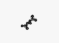 c1ccc(-c2nc(-c3ccccc3)nc(-c3ccc4c(c3)C3(CCCC3)c3cc(-c5nc(-c6ccccn6)nc(-c6ccccn6)n5)ccc3-4)n2)cc1